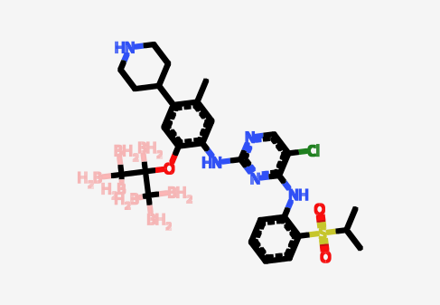 BC(B)(B)C(B)(Oc1cc(C2CCNCC2)c(C)cc1Nc1ncc(Cl)c(Nc2ccccc2S(=O)(=O)C(C)C)n1)C(B)(B)B